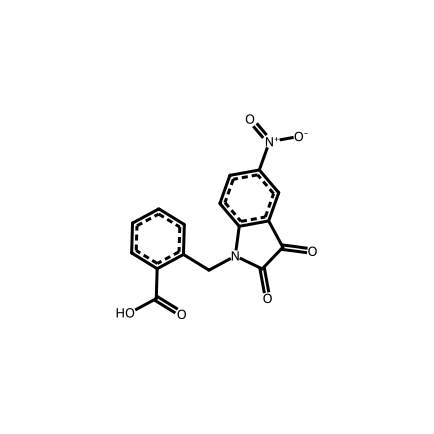 O=C(O)c1ccccc1CN1C(=O)C(=O)c2cc([N+](=O)[O-])ccc21